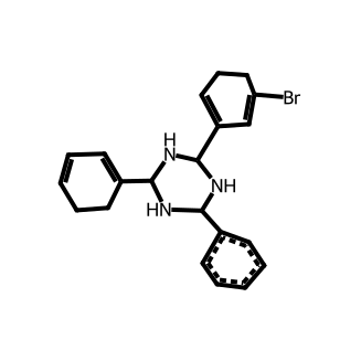 BrC1=CC(C2NC(C3=CC=CCC3)NC(c3ccccc3)N2)=CCC1